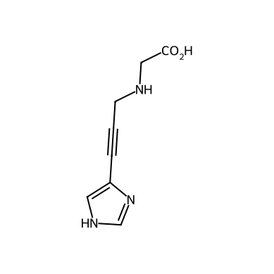 O=C(O)CNCC#Cc1c[nH]cn1